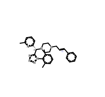 Cc1cccc([C@@H](c2nnnn2-c2c(C)cccc2C)N2CCN(C/C=C/c3ccccc3)CC2)n1